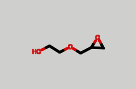 OCCOCC1CO1